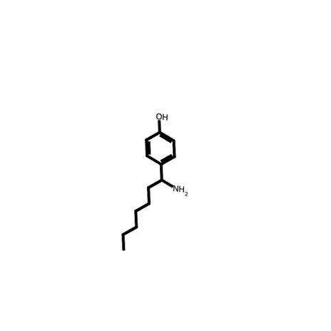 CCCCCCC(N)c1ccc(O)cc1